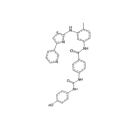 Cc1ccc(NC(=O)c2ccc(NC(=O)Nc3ccc(O)cc3)cc2)cc1Nc1nc(-c2cccnc2)cs1